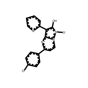 [O-][n+]1c(O)c(-c2ccccn2)c2nc(-c3ccc(Cl)cc3)ccn21